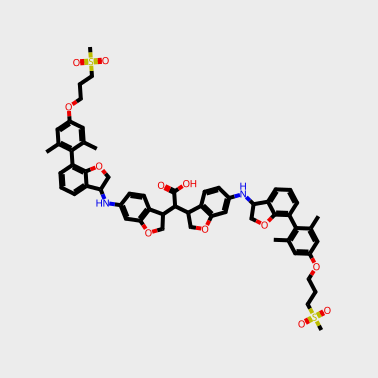 Cc1cc(OCCCS(C)(=O)=O)cc(C)c1-c1cccc2c1OCC2Nc1ccc2c(c1)OCC2C(C(=O)O)C1COc2cc(NC3COc4c(-c5c(C)cc(OCCCS(C)(=O)=O)cc5C)cccc43)ccc21